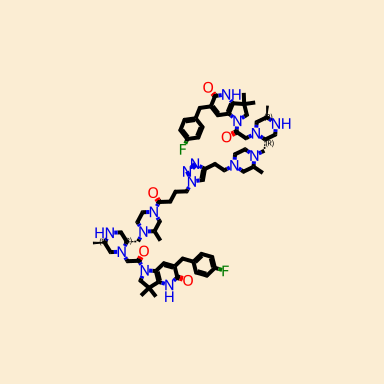 CC1CN(CCc2cn(CCCC(=O)N3CCN(C[C@H]4CN[C@H](C)CN4CC(=O)N4CC(C)(C)c5[nH]c(=O)c(Cc6ccc(F)cc6)cc54)C(C)C3)nn2)CCN1C[C@H]1CN[C@H](C)CN1CC(=O)N1CC(C)(C)c2[nH]c(=O)c(Cc3ccc(F)cc3)cc21